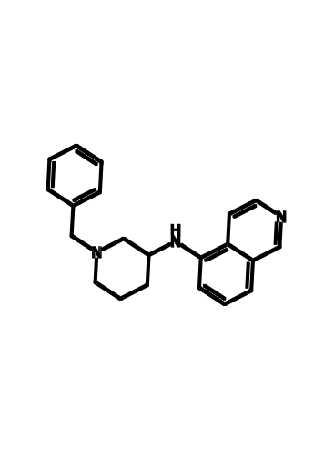 c1ccc(CN2CCCC(Nc3cccc4cnccc34)C2)cc1